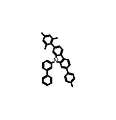 Cc1ccc(-c2ccc3c4ccc(-c5c(C)cc(C)cc5C)cc4n(-c4cccc(-c5ccccc5)c4)c3c2)cc1